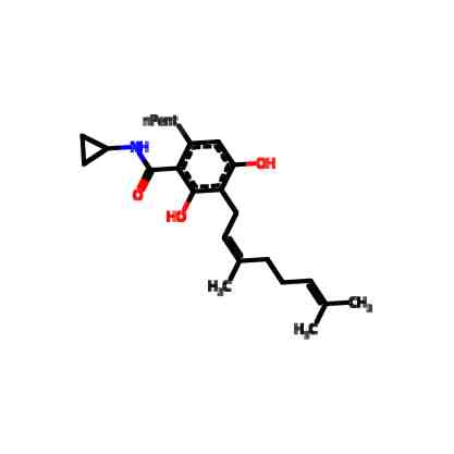 CCCCCc1cc(O)c(CC=C(C)CCC=C(C)C)c(O)c1C(=O)NC1CC1